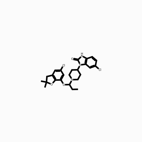 CCC(Oc1cc(Cl)cc2c1OC(C)(C)C2)N1CCC(n2c(=O)[nH]c3ccc(Cl)cc32)CC1